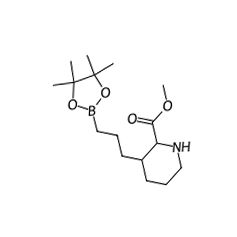 COC(=O)C1NCCCC1CCCB1OC(C)(C)C(C)(C)O1